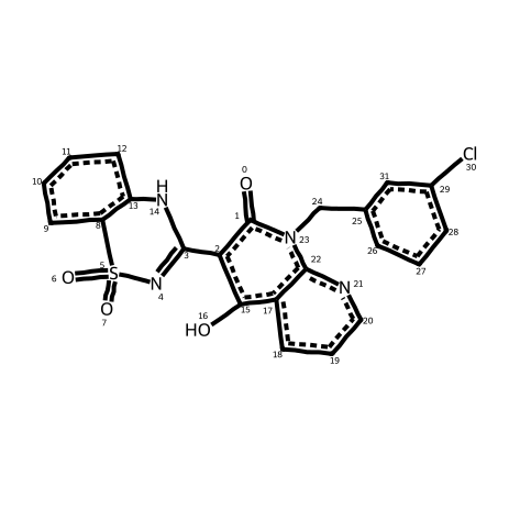 O=c1c(C2=NS(=O)(=O)c3ccccc3N2)c(O)c2cccnc2n1Cc1cccc(Cl)c1